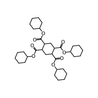 O=C(OC1CCCCC1)C1CC(C(=O)OC2CCCCC2)C(C(=O)OC2CCCCC2)CC1C(=O)OC1CCCCC1